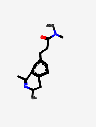 CON(C)C(=O)CCc1ccc2c(c1)C(C)=NC(C(C)(C)C)C2